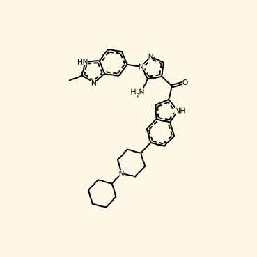 Cc1nc2cc(-n3ncc(C(=O)c4cc5cc(C6CCN(C7CCCCC7)CC6)ccc5[nH]4)c3N)ccc2[nH]1